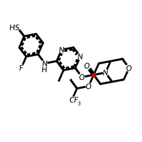 Cc1c(Nc2ccc(S)cc2F)ncnc1OC1CC2COCC(C1)N2C(=O)OC(C)C(F)(F)F